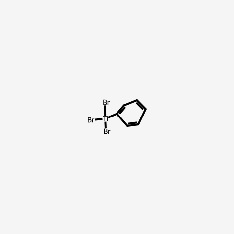 [Br][Ti]([Br])([Br])[c]1ccccc1